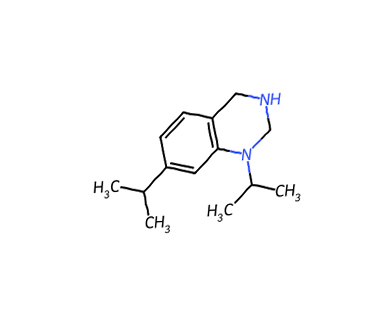 CC(C)c1ccc2c(c1)N(C(C)C)CNC2